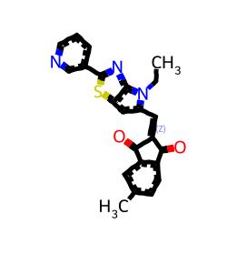 CCn1c(/C=C2/C(=O)c3ccc(C)cc3C2=O)cc2sc(-c3cccnc3)nc21